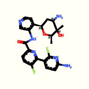 C[C@H]1O[C@@H](c2ccncc2NC(=O)c2ccc(F)c(-c3ccc(N)nc3F)n2)C[C@@H](N)[C@]1(C)O